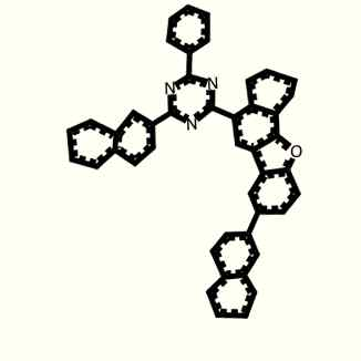 c1ccc(-c2nc(-c3ccc4ccccc4c3)nc(-c3cc4c5cc(-c6ccc7ccccc7c6)ccc5oc4c4ccccc34)n2)cc1